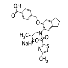 Cc1csc(S(=O)(=O)N(CC(C)F)c2cc3c(cc2OCc2ccc(C(=O)O)cc2)CCC3)n1.[NaH]